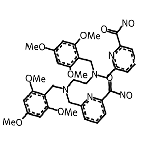 COc1cc(OC)c(CN(CCN(Cc2cccc(C(=O)N=O)n2)Cc2c(OC)cc(OC)cc2OC)Cc2cccc(C(=O)N=O)n2)c(OC)c1